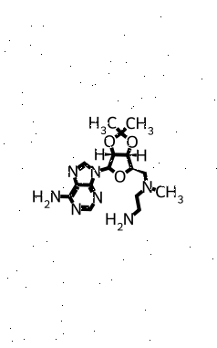 CN(CCN)C[C@H]1OC(n2cnc3c(N)ncnc32)[C@@H]2OC(C)(C)O[C@H]12